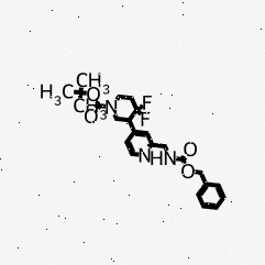 CC(C)(C)OC(=O)N1CCC(F)(F)C(c2ccnc(CNC(=O)OCc3ccccc3)c2)C1